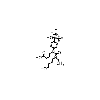 CCN(CCCCO)C(=O)N(CCCC(=O)O)c1ccc(C(O)(C(F)(F)F)C(F)(F)F)cc1